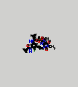 Cn1c(=O)c2c(nc(S(C)(=O)=O)n2C)n(CC#Cc2cc(NC(=O)C3CC3)cc(NC(=O)C3CC3)c2F)c1=O